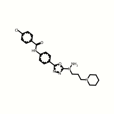 NN(CCCN1CCCCC1)c1nnc(-c2ccc(NC(=O)c3ccc(Cl)cc3)cc2)o1